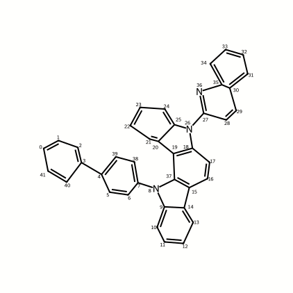 c1ccc(-c2ccc(-n3c4ccccc4c4ccc5c(c6ccccc6n5-c5ccc6ccccc6n5)c43)cc2)cc1